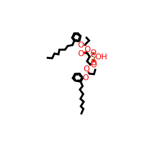 CCCCCCCCc1ccccc1OC(CC)OC(=O)CC(C(=O)OC(CC)Oc1ccccc1CCCCCCCC)S(=O)(=O)O